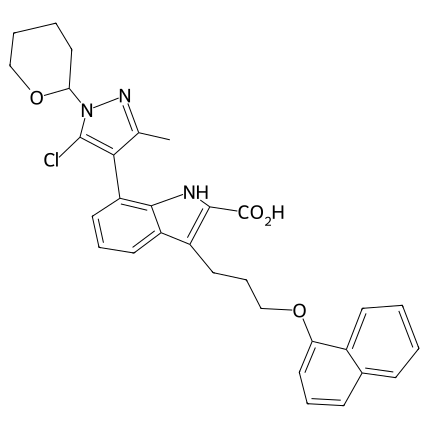 Cc1nn(C2CCCCO2)c(Cl)c1-c1cccc2c(CCCOc3cccc4ccccc34)c(C(=O)O)[nH]c12